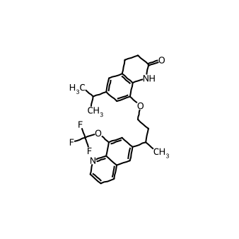 CC(C)c1cc2c(c(OCCC(C)c3cc(OC(F)(F)F)c4ncccc4c3)c1)NC(=O)CC2